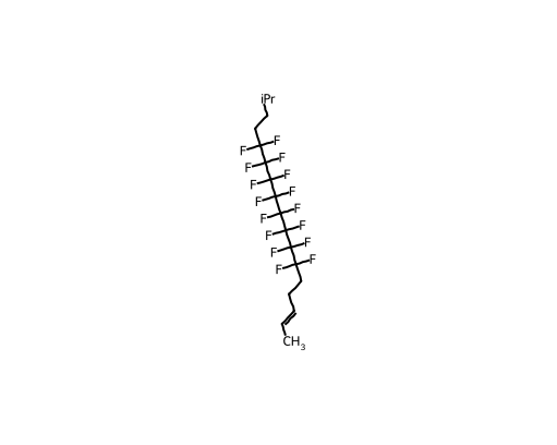 C/C=C/CCC(F)(F)C(F)(F)C(F)(F)C(F)(F)C(F)(F)C(F)(F)C(F)(F)C(F)(F)CCC(C)C